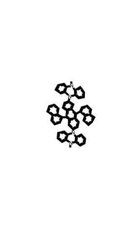 CN1c2ccccc2N(c2ccc3c(-c4cccc5ccccc45)c4cc(N5c6ccccc6N(C)c6ccccc65)ccc4c(-c4cccc5ccccc45)c3c2)c2ccccc21